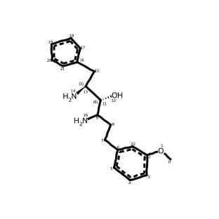 COc1cccc(CCC(N)[C@@H](O)[C@@H](N)Cc2ccccc2)c1